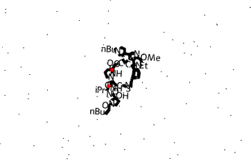 CCCC/C=C\C(=O)N1CCC(O)(C(=O)N(C)[C@H](C(=O)N[C@H]2Cc3nc(cs3)-c3ccc4c(c3)c(c(-c3cc(C5=CCN(CCCC)CC5)cnc3[C@H](C)OC)n4CC)CC(C)(C)COC(=O)[C@@H]3CCCN(N3)C2=O)C(C)C)C1